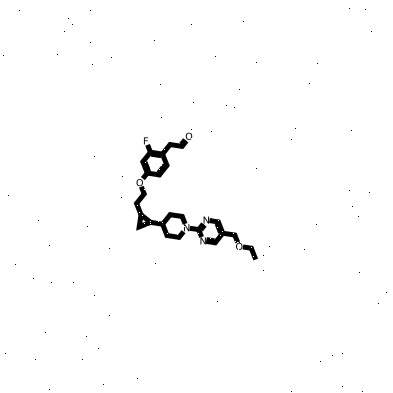 CCOCc1cnc(N2CCC(C3CC3CCOc3ccc(CC=O)c(F)c3)CC2)nc1